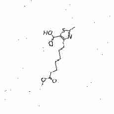 COC(=O)CCCCCCc1nc(C)sc1C(=O)O